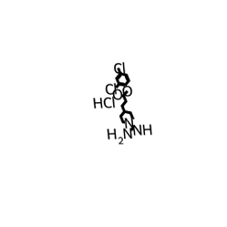 Cl.N=C(N)N1CCC(CCC(=O)Oc2ccc(Cl)cc2Cl)CC1